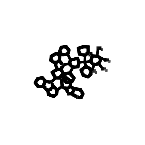 Bc1c(B)c(B)c(S(c2ccccc2)(c2ccccc2)c2cc(-c3ccccc3)c(-n3c4ccccc4c4cc(-n5c6ccccc6c6cccc(-c7cccc8c7oc7ccccc78)c65)ccc43)c(-c3ccccc3)c2)c(B)c1B